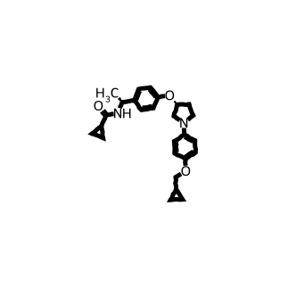 C[C@H](NC(=O)C1CC1)c1ccc(O[C@@H]2CCN(c3ccc(OCC4CC4)cc3)C2)cc1